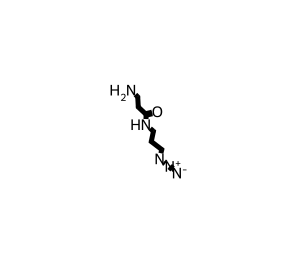 [N-]=[N+]=NCCCNC(=O)CCN